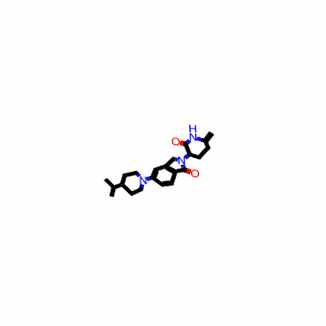 C=C1CCC(N2Cc3cc(N4CCC(C(C)C)CC4)ccc3C2=O)C(=O)N1